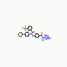 O=C(Nc1nn[nH]n1)c1ccc(CN(C(=O)c2cccc(C(F)(F)F)c2)c2ccc(C3CCCCC3)cc2)cc1